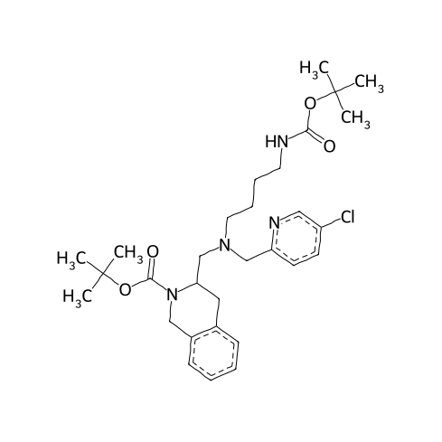 CC(C)(C)OC(=O)NCCCCN(Cc1ccc(Cl)cn1)CC1Cc2ccccc2CN1C(=O)OC(C)(C)C